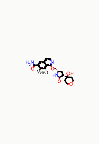 COc1cc2c(OC[C@@H]3C[C@@H](C4(O)CCOCC4)C(=O)N3)nccc2cc1C(N)=O